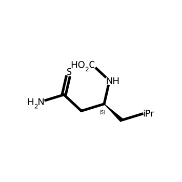 CC(C)C[C@@H](CC(N)=S)NC(=O)O